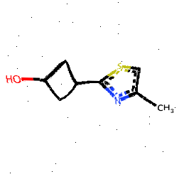 Cc1csc(C2CC(O)C2)n1